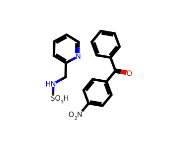 O=C(c1ccccc1)c1ccc([N+](=O)[O-])cc1.O=S(=O)(O)NCc1ccccn1